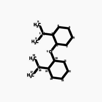 CN(C)C1CCCCC1OC1CCCCC1N(C)C